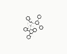 c1ccc(-c2cc(-c3ccccc3)cc(-c3nc(-n4c5ccccc5c5c6c7ccccc7sc6c6ccccc6c54)nc4c3sc3ccccc34)c2)cc1